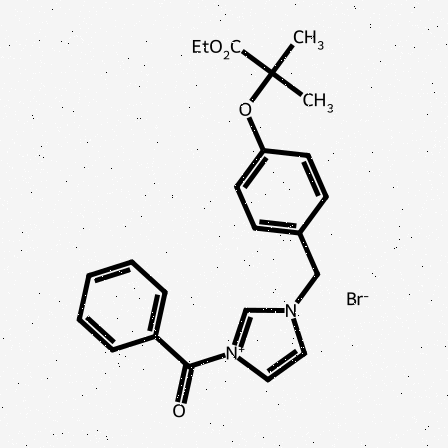 CCOC(=O)C(C)(C)Oc1ccc(Cn2cc[n+](C(=O)c3ccccc3)c2)cc1.[Br-]